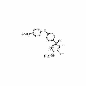 COc1ccc(Oc2ccc(S(=O)(=O)N(C)C(C(=O)NO)C(C)C)cc2)cc1